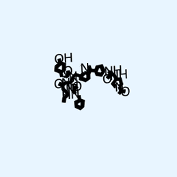 C=CCN1CC(=O)N2[C@@H](Cc3ccc(O)cc3)C(=O)N(Cc3cccc4c(-c5ccc(NC(=O)NC6CCN(C(C)=O)CC6)cc5)cn(C)c34)C[C@@H]2N1C(=O)NCc1ccccc1